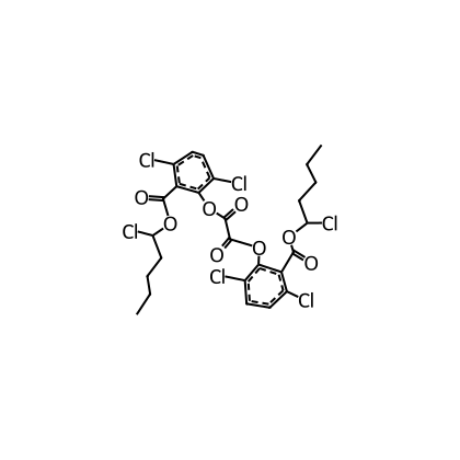 CCCCC(Cl)OC(=O)c1c(Cl)ccc(Cl)c1OC(=O)C(=O)Oc1c(Cl)ccc(Cl)c1C(=O)OC(Cl)CCCC